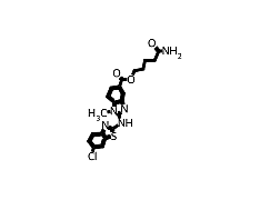 Cn1c(Nc2nc3ccc(Cl)cc3s2)nc2cc(C(=O)OCCCCC(N)=O)ccc21